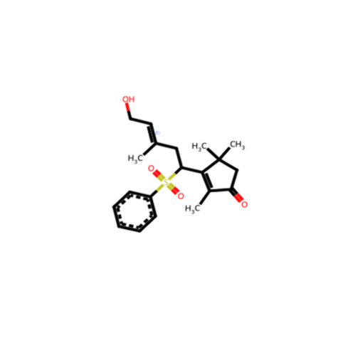 CC1=C(C(C/C(C)=C/CO)S(=O)(=O)c2ccccc2)C(C)(C)CC1=O